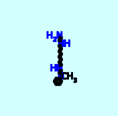 CN(CCNCCCCCCCCNCCN)c1ccccc1